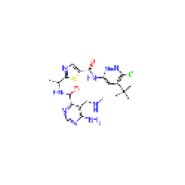 CNCc1c(N)ncnc1C(=O)NC(C)c1ncc(C(=O)Nc2cc(C(C)(C)C)c(Cl)nn2)s1